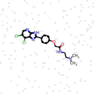 CN(C)CCNC(=O)COc1ccc(-c2nc3c(Cl)c(Cl)cnc3[nH]2)cc1